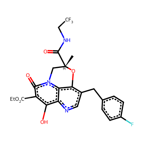 CCOC(=O)c1c(O)c2ncc(Cc3ccc(F)cc3)c3c2n(c1=O)C[C@](C)(C(=O)NCC(F)(F)F)O3